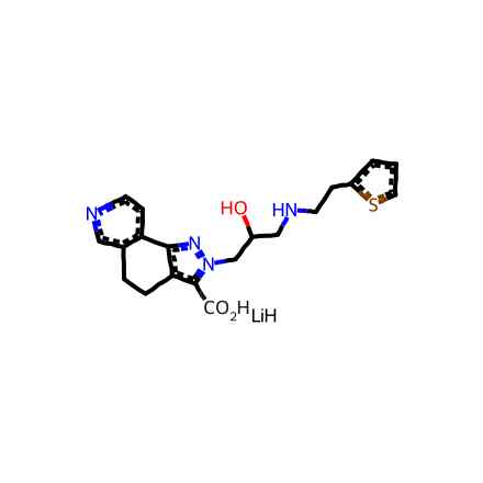 O=C(O)c1c2c(nn1CC(O)CNCCc1cccs1)-c1ccncc1CC2.[LiH]